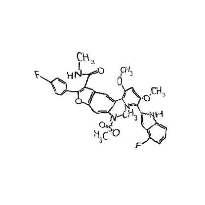 CNC(=O)c1c(-c2ccc(F)cc2)oc2cc(N(C)S(C)(=O)=O)c(-c3nc(-c4cc5c(F)cccc5[nH]4)c(OC)cc3OC)cc12